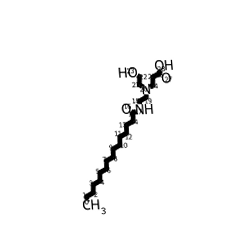 CCCCCCCCCCCCCCCC(=O)NCCN(CCO)CCC(=O)O